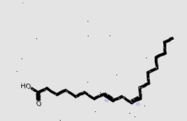 CCCCCCCC/C=C\C/C=C/CCCCCCC(=O)O